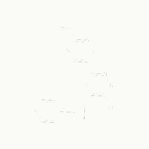 CCc1nc(OC)ncc1-c1cc(C2CC2c2ccccc2)c(Cl)nn1